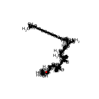 C=Cc1cc(C)nc(CCC(=O)NCCOCCOCCOCCOCCOCCOCCOCCOCCC(=O)N[C@H](C(=O)N[C@@H](CCCNC(N)=O)C(=O)Nc2ccc(COC(=O)N(C)CCN(C)C(=O)Oc3cc4c(c5ccccc35)[C@H](CCl)CN4C(=O)CCCC(=O)N3C[C@@H](CCl)c4c3cc(OC(=O)N(C)CCN(C)C(=O)OCc3ccc(O[C@@H]5O[C@H](C(=O)O)[C@@H](O)[C@H](O)[C@H]5O)cc3)c3ccccc43)cc2)C(C)C)c1